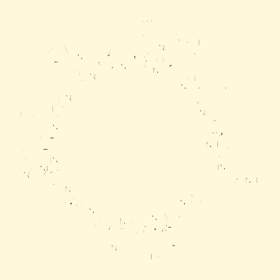 CCCC[C@H]1C(=O)N(C)[C@@H](CCCC)C(=O)N[C@@H](CC(C)C)C(=O)N[C@H](C(=O)NCC(N)=O)CSCC(=O)N[C@@H](Cc2ccc(O)cc2)C(=O)N(C)[C@@H](C)C(=O)N[C@@H](CCN)C(=O)N2CCC[C@H]2C(=O)N[C@@H](Cc2cnc[nH]2)C(=O)N[C@@H](CCC(=O)O)C(=O)N2C[C@H](O)C[C@H]2C(=O)N[C@@H](Cc2c[nH]c3ccccc23)C(=O)N[C@@H](CO)C(=O)N[C@@H](Cc2cn(CC(=O)O)c3ccccc23)C(=O)N1C